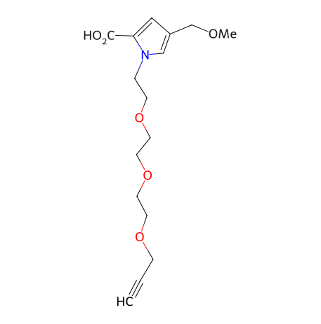 C#CCOCCOCCOCCn1cc(COC)cc1C(=O)O